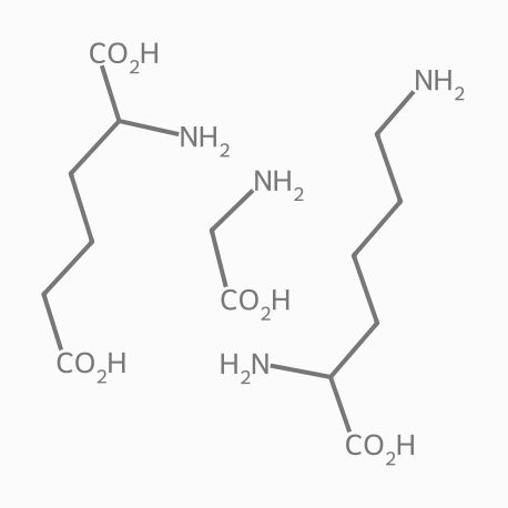 NC(CCCC(=O)O)C(=O)O.NCC(=O)O.NCCCCC(N)C(=O)O